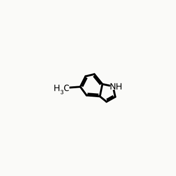 Cc1ccc2[nH]ccc2c1